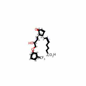 O=C(O)CCC/C=C\C[C@H]1C=CC(=O)[C@@H]1/C=C/[C@@H](O)COc1cccc(C(F)(F)F)c1